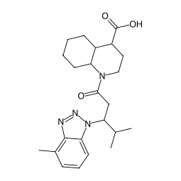 Cc1cccc2c1nnn2C(CC(=O)N1CCC(C(=O)O)C2CCCCC21)C(C)C